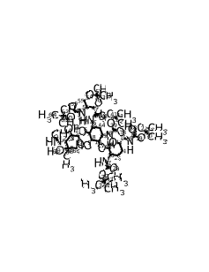 CN[C@@H]1C(O)[C@@H](OC2C(O)C(O[C@H]3O[C@H](CNC(=O)OC(C)(C)C)CCC3NC(=O)OC(C)(C)C)[C@@H](NC(=O)OC(C)(C)C)C[C@H]2NC(=O)[C@H]2OC(C)(C)OC[C@H]2NC(=O)OC(C)(C)C)OCC1(C)O